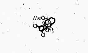 CO[C@H]1CN(C)C(=O)C2CCC[C@H]1N2S(=O)(=O)c1cc(Cl)cc(Cl)c1